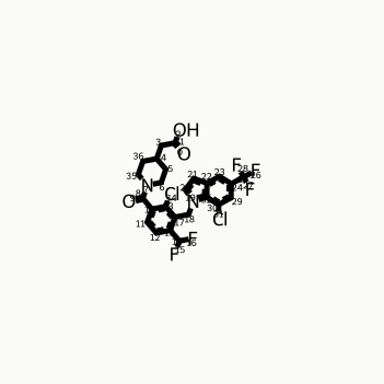 O=C(O)CC1CCN(C(=O)c2ccc(C(F)F)c(Cn3ccc4cc(C(F)(F)F)cc(Cl)c43)c2Cl)CC1